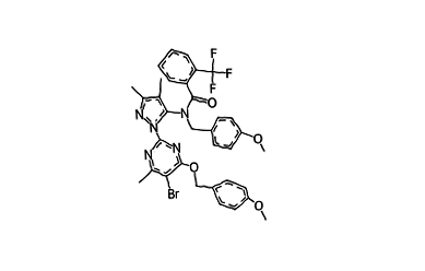 COc1ccc(COc2nc(-n3nc(C)c(C)c3N(Cc3ccc(OC)cc3)C(=O)c3ccccc3C(F)(F)F)nc(C)c2Br)cc1